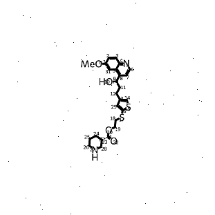 COc1ccc2nccc([C@H](O)CCc3csc(SCCOC(=O)[C@H]4CCCNC4)c3)c2c1